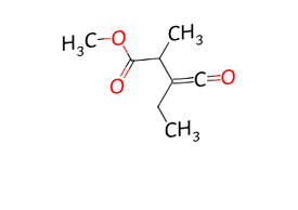 CCC(=C=O)C(C)C(=O)OC